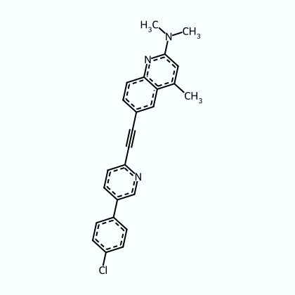 Cc1cc(N(C)C)nc2ccc(C#Cc3ccc(-c4ccc(Cl)cc4)cn3)cc12